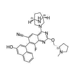 CN1CCC[C@H]1COc1nc(N2C[C@H]3CC[C@@H](C2)N3)c2cc(C#N)c(-c3cc(O)cc4ccccc34)c(F)c2n1